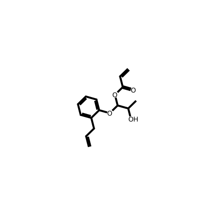 C=CCc1ccccc1OC(OC(=O)C=C)C(C)O